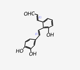 O=C/C=C/c1cccc(O)c1/C=C/c1ccc(O)c(O)c1